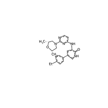 CCc1ccc(-c2c[nH]c(=O)c(Nc3ccnc(N4C[C@@H](C)O[C@@H](C)C4)n3)c2)cc1